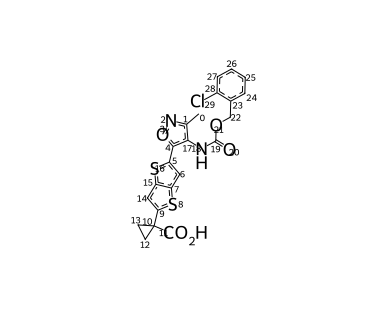 Cc1noc(-c2cc3sc(C4(C(=O)O)CC4)cc3s2)c1NC(=O)OCc1ccccc1Cl